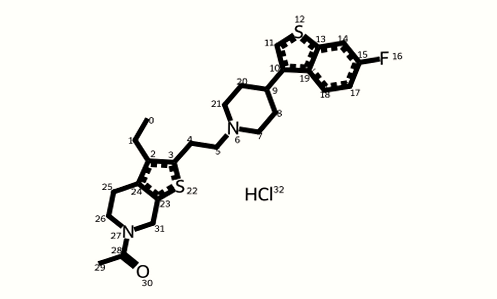 CCc1c(CCN2CCC(c3csc4cc(F)ccc34)CC2)sc2c1CCN(C(C)=O)C2.Cl